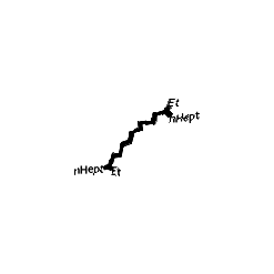 [CH2]CCCCCCC(CC)CCCC=CCCCCC(CC)CCCCCC[CH2]